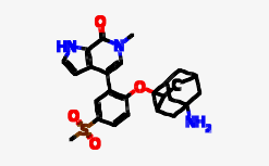 Cn1cc(-c2cc(S(C)(=O)=O)ccc2OC2CC3CC4CC2CC(N)(C4)C3)c2cc[nH]c2c1=O